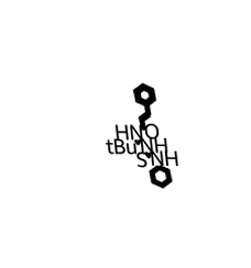 CC(C)(C)C(NC(=O)C=Cc1ccccc1)NC(=S)NC1CCCCC1